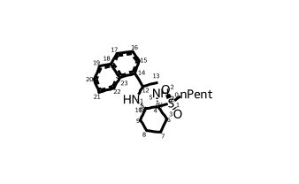 CCCCCS(=O)(=O)[C@@]1(N)CCCC[C@@H]1NC(C)c1cccc2ccccc12